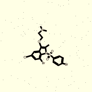 Cc1c(OCCN(C)C)c2cc(Cl)cc(Br)c2n1S(=O)(=O)c1ccc(Br)cc1